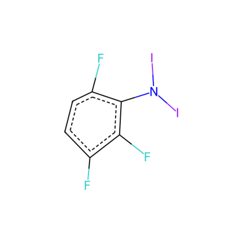 Fc1ccc(F)c(N(I)I)c1F